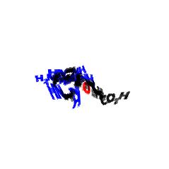 N[C@]12CNCCNC[C@](NC(=O)CCCC(=O)O)(CNCCNC1)NCCN2